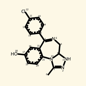 CC1=NNC2CN=C(c3ccc(Cl)cc3)c3cc(O)ccc3N12